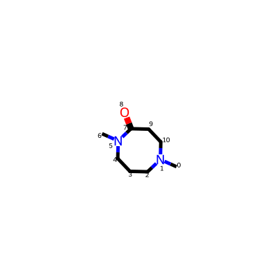 CN1CCCN(C)C(=O)CC1